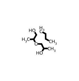 CC(O)COC(C)CO.CCCC